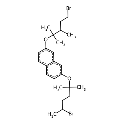 CC(Br)CCC(C)(C)Oc1ccc2ccc(OC(C)(C)C(C)CCBr)cc2c1